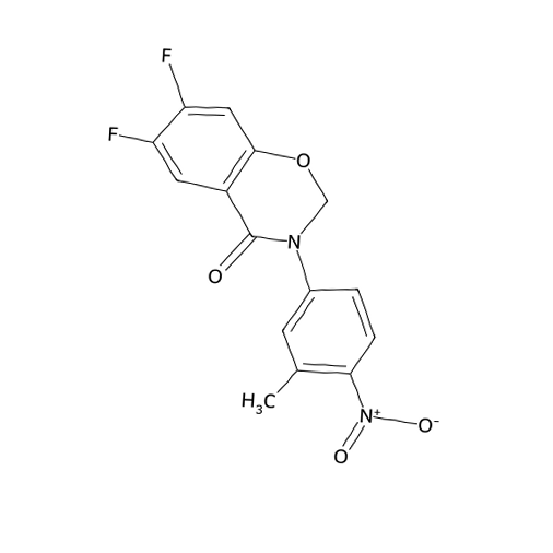 Cc1cc(N2COc3cc(F)c(F)cc3C2=O)ccc1[N+](=O)[O-]